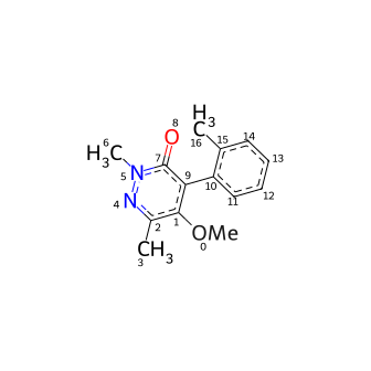 COc1c(C)nn(C)c(=O)c1-c1ccccc1C